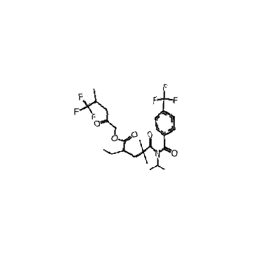 CCC(CC(C)(C)C(=O)N(C(=O)c1ccc(C(F)(F)F)cc1)C(C)C)C(=O)OCC(=O)CC(C)C(F)(F)F